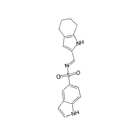 O=S(=O)(/N=C/c1cc2c([nH]1)CCCC2)c1ccc2[nH]ccc2c1